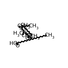 CCCCCCCCCCC(CCCCCCCCC(=O)O)OC(=O)OCCN(CCN(CC)C(C)C(CCCC)CCCCCCC)C(C)C